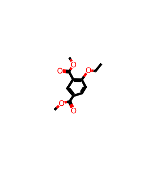 CCOc1ccc(C(=O)OC)cc1C(=O)OC